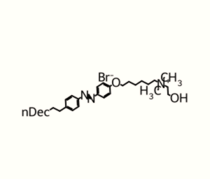 CCCCCCCCCCCCc1ccc(N=Nc2ccc(OCCCCCC[N+](C)(C)CCO)cc2)cc1.[Br-]